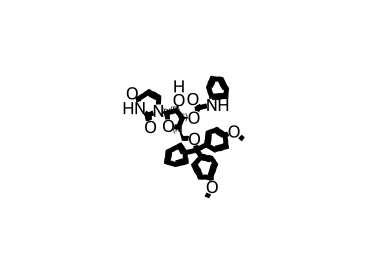 COc1ccc(C(OC[C@H]2O[C@@H](n3ccc(=O)[nH]c3=O)[C@H](O)[C@@H]2OC(=O)Nc2ccccc2)(c2ccccc2)c2ccc(OC)cc2)cc1